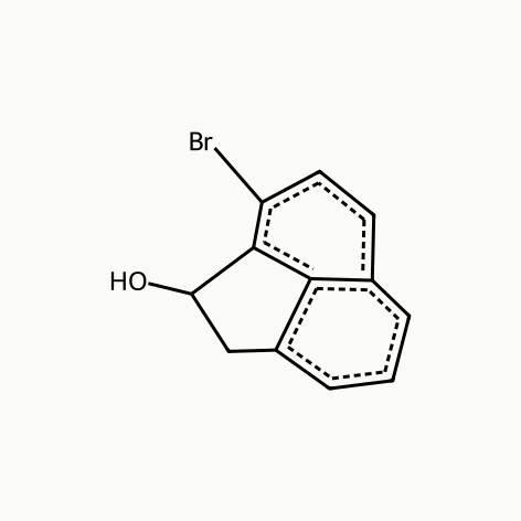 OC1Cc2cccc3ccc(Br)c1c23